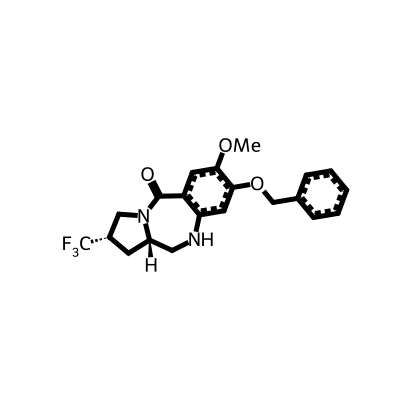 COc1cc2c(cc1OCc1ccccc1)NC[C@@H]1C[C@H](C(F)(F)F)CN1C2=O